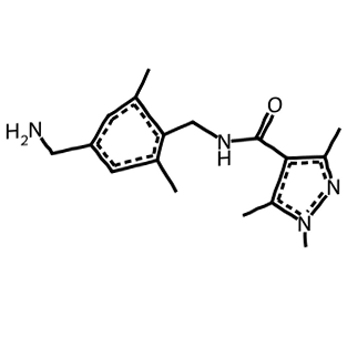 Cc1cc(CN)cc(C)c1CNC(=O)c1c(C)nn(C)c1C